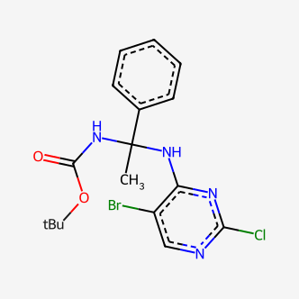 CC(C)(C)OC(=O)NC(C)(Nc1nc(Cl)ncc1Br)c1ccccc1